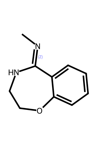 C/N=C1\NCCOc2ccccc21